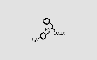 CCOC(=O)CC(Cc1ccccc1)NCc1ccc(C(F)(F)F)cc1